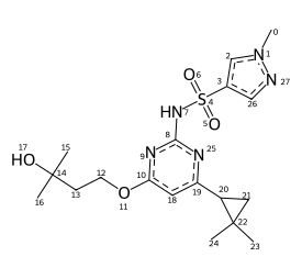 Cn1cc(S(=O)(=O)Nc2nc(OCCC(C)(C)O)cc(C3CC3(C)C)n2)cn1